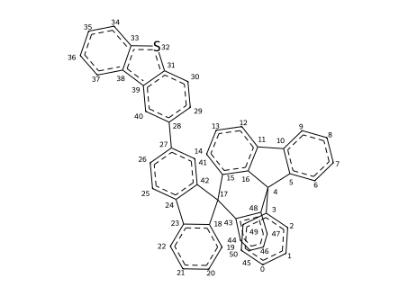 c1ccc(C23c4ccccc4-c4cccc(c42)C2(c4ccccc4-c4ccc(-c5ccc6sc7ccccc7c6c5)cc42)c2ccccc23)cc1